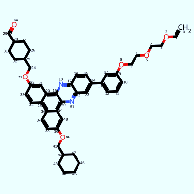 C=COCCOCCOc1cccc(-c2ccc3nc4c5cc(OCC6CCC(C=O)CC6)ccc5c5ccc(OCC6CCCCC6)cc5c4nc3c2)c1